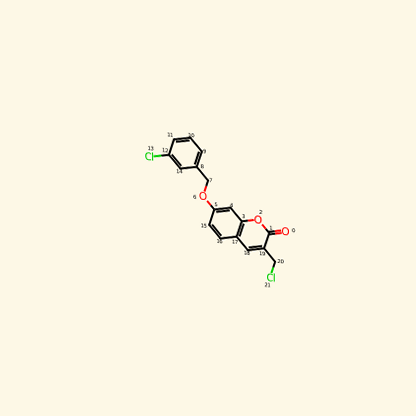 O=c1oc2cc(OCc3cccc(Cl)c3)ccc2cc1CCl